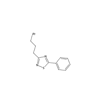 CC(C)CCCc1nsc(-c2ccccc2)n1